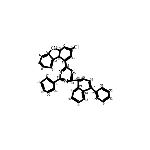 ClC1=CC2Oc3ccccc3C2C(c2nc(-c3ccccc3)nc(-c3ccc(-c4ccccc4)c4ccccc34)n2)=C1